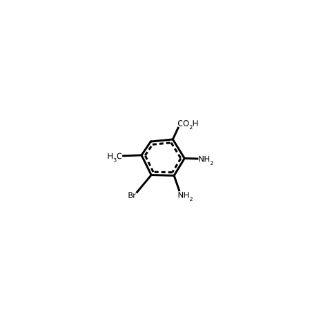 Cc1cc(C(=O)O)c(N)c(N)c1Br